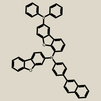 c1ccc(N(c2ccccc2)c2ccc3oc4c(N(c5ccc(-c6ccc7ccccc7c6)cc5)c5ccc6c(c5)oc5ccccc56)cccc4c3c2)cc1